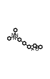 CC1(C)c2ccc(-c3ccc(-c4ccc(-c5nc(-c6ccccc6)nc(-c6ccccc6)n5)cc4)cc3)cc2-c2ccc3c(oc4ccccc43)c21